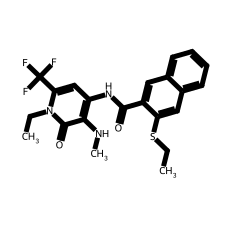 CCSc1cc2ccccc2cc1C(=O)Nc1cc(C(F)(F)F)n(CC)c(=O)c1NC